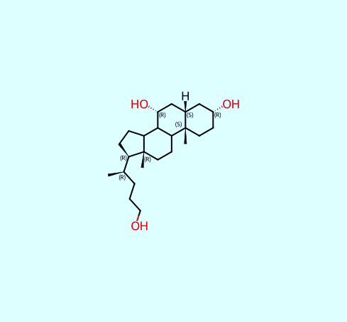 C[C@H](CCCO)[C@H]1CCC2C3C(CC[C@@]21C)[C@@]1(C)CC[C@@H](O)C[C@H]1C[C@H]3O